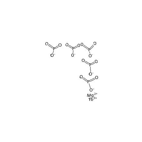 O=P(=O)[O-].O=P(=O)[O-].O=P(=O)[O-].O=P(=O)[O-].O=P(=O)[O-].[Mg+2].[Tb+3]